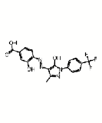 Cc1nn(-c2ccc(C(F)(F)F)cc2)c(O)c1N=Nc1ccc(C(=O)O)cc1O